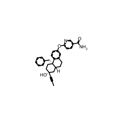 CC#C[C@@]1(O)CC[C@@]2(Cc3ccccc3)c3ccc(Oc4ccc(C(N)=O)cn4)cc3CC[C@@H]2C1